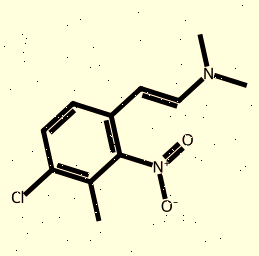 Cc1c(Cl)ccc(/C=C/N(C)C)c1[N+](=O)[O-]